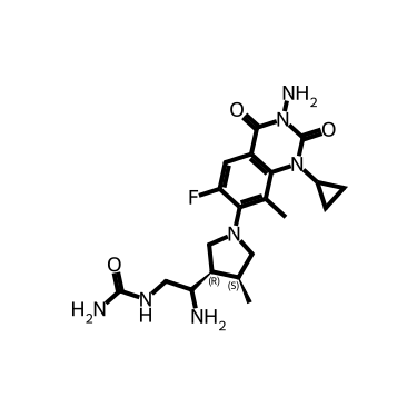 Cc1c(N2C[C@@H](C)[C@@H](C(N)CNC(N)=O)C2)c(F)cc2c(=O)n(N)c(=O)n(C3CC3)c12